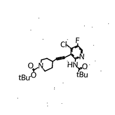 CC(C)(C)OC(=O)N1CCC(C#Cc2c(NC(=O)C(C)(C)C)ncc(F)c2Cl)CC1